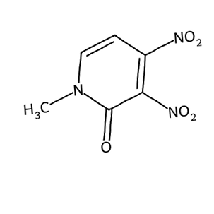 Cn1ccc([N+](=O)[O-])c([N+](=O)[O-])c1=O